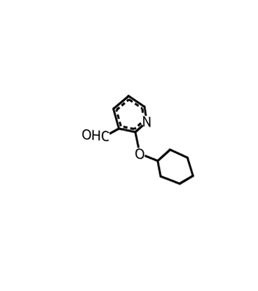 O=Cc1cccnc1OC1CCCCC1